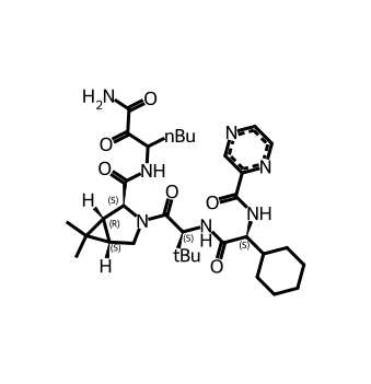 CCCCC(NC(=O)[C@@H]1[C@@H]2[C@H](CN1C(=O)[C@@H](NC(=O)[C@@H](NC(=O)c1cnccn1)C1CCCCC1)C(C)(C)C)C2(C)C)C(=O)C(N)=O